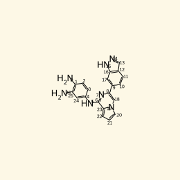 Nc1ccc(Nc2nc(-c3ccc4cn[nH]c4c3)cn3cccc23)cc1N